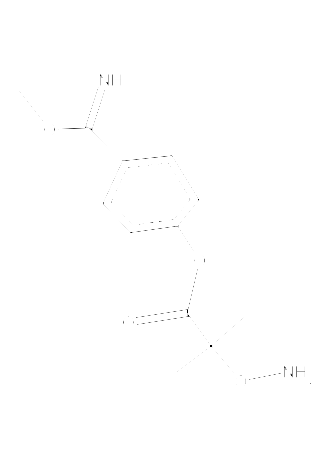 COC(=N)c1ccc(OC(=O)C(C)(C)ON)cc1